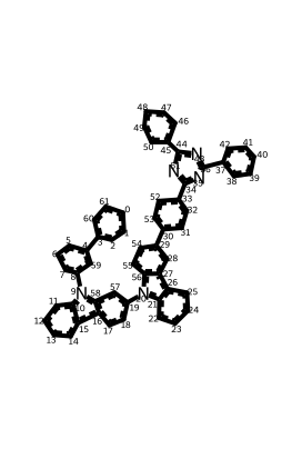 c1ccc(-c2cccc(-n3c4ccccc4c4ccc(-n5c6ccccc6c6cc(-c7ccc(-c8nc(-c9ccccc9)nc(-c9ccccc9)n8)cc7)ccc65)cc43)c2)cc1